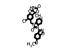 COc1ccc2c(-n3c(=O)n(Cc4cc([C@]5(C)OC(=O)NC5=O)ccc4Cl)c4ccccc43)noc2c1